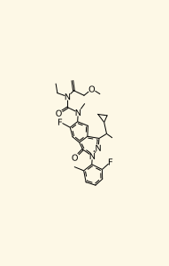 C=C(COC)N(CC)C(=O)N(C)c1cc2c(C(C)C3CC3)nn(-c3c(C)cccc3F)c(=O)c2cc1F